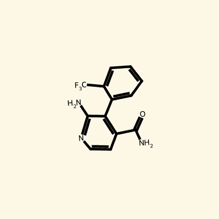 NC(=O)c1ccnc(N)c1-c1ccccc1C(F)(F)F